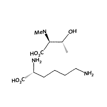 CN[C@H](C(=O)O)[C@@H](C)O.NCCCC[C@@H](N)C(=O)O